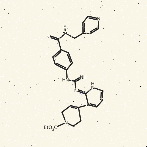 CCOC(=O)N1CC=C(c2ccc[nH]/c2=N\C(=N)Nc2ccc(C(=O)N(CC)Cc3ccncc3)cc2)CC1